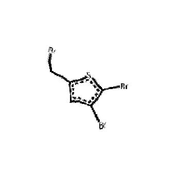 BrCc1cc(Br)c(Br)s1